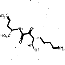 NCCCC[C@H](NO)C(=O)C(=O)N[C@@H](CCC(=O)O)C(=O)O